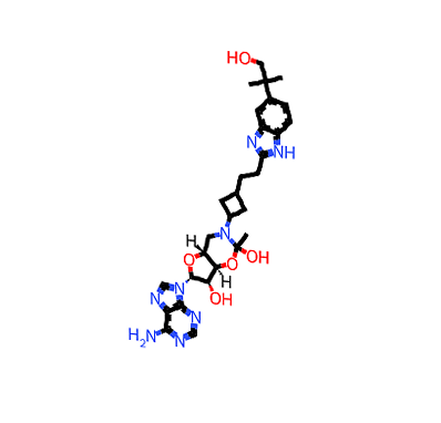 CC(C)(CO)c1ccc2[nH]c(CCC3CC(N4C[C@H]5O[C@@H](n6cnc7c(N)ncnc76)[C@H](O)[C@@H]5OC4(C)O)C3)nc2c1